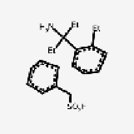 CCc1ccccc1C(N)(CC)CC.O=S(=O)(O)Cc1ccccc1